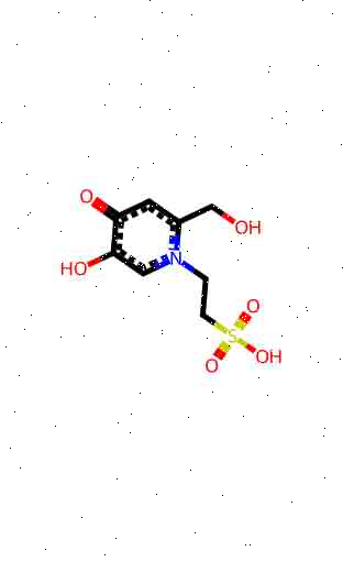 O=c1cc(CO)n(CCS(=O)(=O)O)cc1O